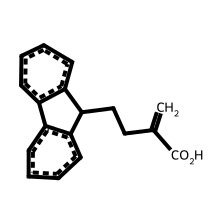 C=C(CCC1c2ccccc2-c2ccccc21)C(=O)O